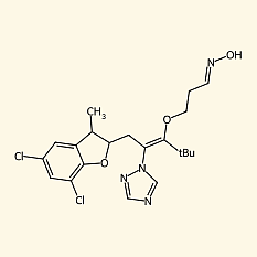 CC1c2cc(Cl)cc(Cl)c2OC1CC(=C(OCCC=NO)C(C)(C)C)n1cncn1